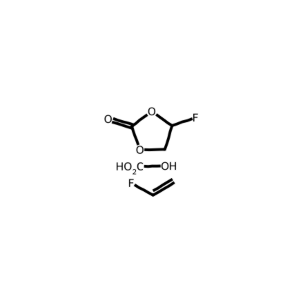 C=CF.O=C(O)O.O=C1OCC(F)O1